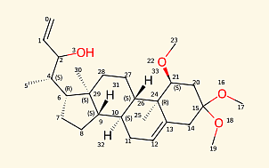 C=CC(O)[C@@H](C)[C@H]1CC[C@H]2[C@@H]3CC=C4CC(OC)(OC)C[C@H](OC)[C@]4(C)[C@H]3CC[C@]12C